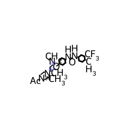 C=C/N=C(\C=C(/C)N1CCN(C(C)=O)C[C@H]1C)Oc1ccc(NC(=O)Nc2ccc(C)c(C(F)(F)F)c2)cc1